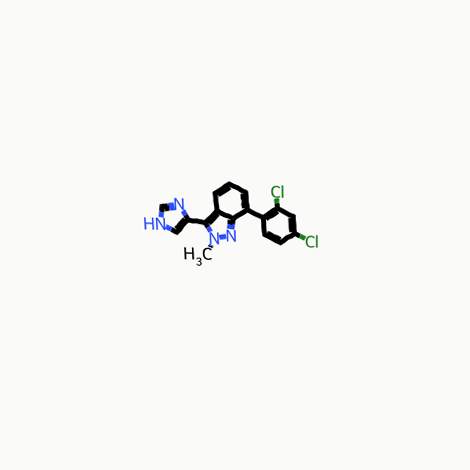 Cn1nc2c(-c3ccc(Cl)cc3Cl)cccc2c1-c1c[nH]cn1